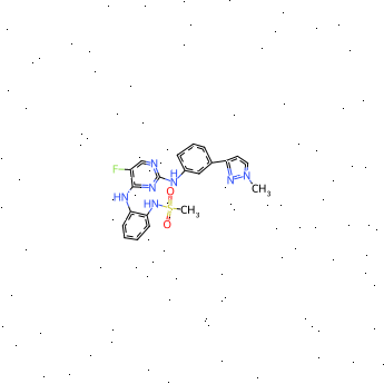 Cn1ccc(-c2cccc(Nc3ncc(F)c(Nc4ccccc4NS(C)(=O)=O)n3)c2)n1